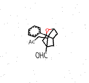 CC(=O)CC1C2CC3CC1(C=O)CC3(c1ccccc1)O2